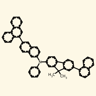 CC1(C)c2cc(-c3cccc4ccccc34)ccc2-c2ccc(N(c3ccccc3)c3ccc4cc(-c5cc6ccccc6c6ccccc56)ccc4c3)cc21